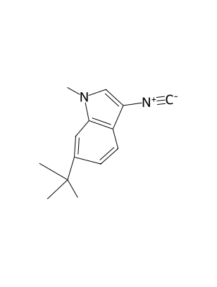 [C-]#[N+]c1cn(C)c2cc(C(C)(C)C)ccc12